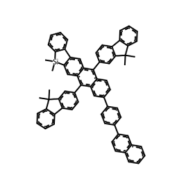 CC1(C)c2ccccc2-c2ccc(-c3c4ccc(-c5ccc(-c6ccc7ccccc7c6)cc5)cc4c(-c4ccc5c(c4)C(C)(C)c4ccccc4-5)c4cc5c(cc34)-c3ccccc3[Si]5(C)C)cc21